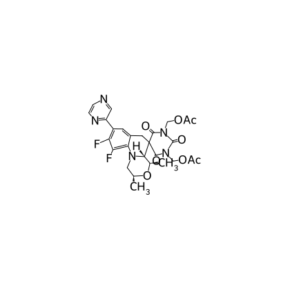 CC(=O)OCN1C(=O)N(COC(C)=O)C(=O)C2(Cc3cc(-c4cnccn4)c(F)c(F)c3N3C[C@H](C)O[C@H](C)[C@H]32)C1=O